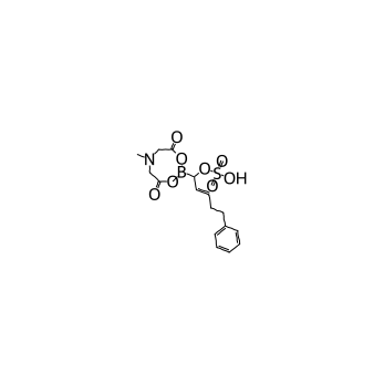 CN1CC(=O)OB(C(/C=C/CCc2ccccc2)OS(=O)(=O)O)OC(=O)C1